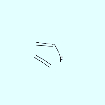 C=C.C=CF